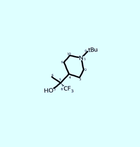 CC(C)(C)N1CCC([C@](C)(O)C(F)(F)F)CC1